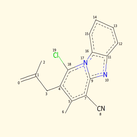 C=C(C)Cc1c(C)c(C#N)c2nc3ccccc3n2c1Cl